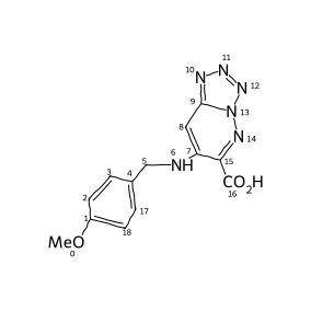 COc1ccc(CNc2cc3nnnn3nc2C(=O)O)cc1